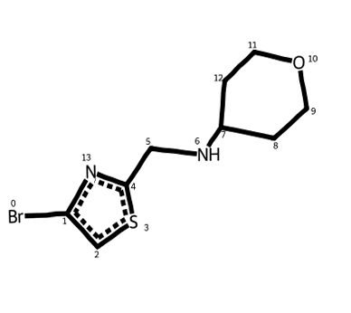 Brc1csc(CNC2CCOCC2)n1